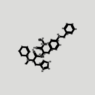 CN(C1C=CCCC1)C(Cc1cscn1)C(=O)NC(Cc1ccc(OCc2ccccc2)cc1)C(=O)NC(C)(C)C